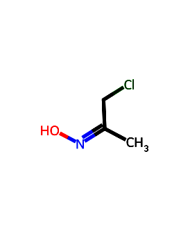 C/C(CCl)=N/O